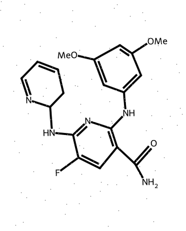 COc1cc(Nc2nc(NC3CC=CC=N3)c(F)cc2C(N)=O)cc(OC)c1